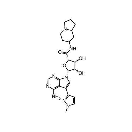 Cn1ccc(-c2cn([C@@H]3O[C@H](C(=O)NC4CCN5CCCC5C4)[C@@H](O)[C@H]3O)c3ncnc(N)c23)n1